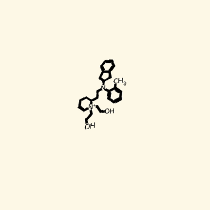 Cc1ccccc1N(CCC1CCCC[N+]1(CCO)CCO)C1Cc2ccccc2C1